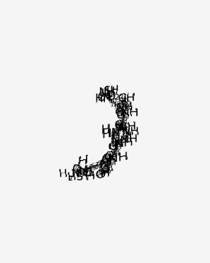 NC(=O)[C@H](CS)NC(=O)CCCCCNC(=O)[C@H](Cc1ccc(O)cc1)NC(=O)CCCC(=O)N[C@@]1(N)CNCCNC[C@@]2(NC(=O)CCCC(=O)N[C@@H](Cc3ccc(O)cc3)C(=O)NCCCCCC(=O)N[C@@H](CS)C(N)=O)C[N@@]2CCNC1